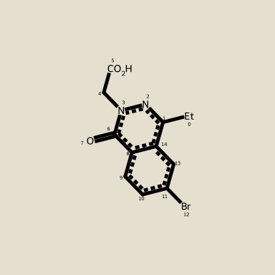 CCc1nn(CC(=O)O)c(=O)c2ccc(Br)cc12